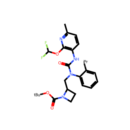 Cc1ccc(NC(=O)N(CC2CCN2C(=O)OC(C)(C)C)c2ccccc2C(C)C)c(OC(F)F)n1